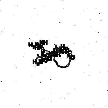 CC[C@@H](C)[C@@H]1NC(=O)[C@@H]2CCCN2C(=O)CCCCCC/C=C/C[C@@H](C(=O)N[C@@H](CCCNC(=N)N)C(=O)N[C@H](C(N)=O)C(C)C)NC1=O